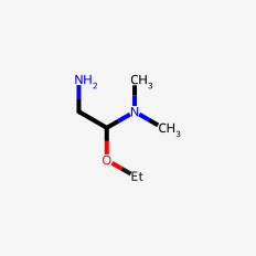 CCOC(CN)N(C)C